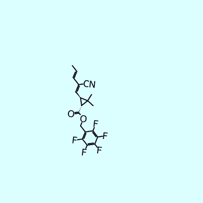 C/C=C/C(C#N)=C/[C@@H]1[C@@H](C(=O)OCc2c(F)c(F)c(F)c(F)c2F)C1(C)C